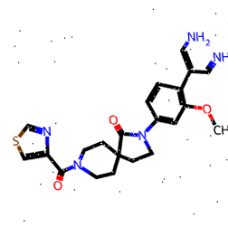 COc1cc(N2CCC3(CCN(C(=O)c4cscn4)CC3)C2=O)ccc1/C(C=N)=C/N